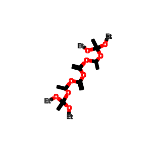 C=C(OC(=C)OC(C)OC(C)(OCC)OCC)OC(C)OC(C)(OCC)OCC